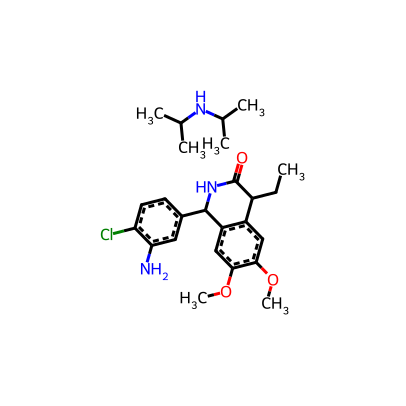 CC(C)NC(C)C.CCC1C(=O)NC(c2ccc(Cl)c(N)c2)c2cc(OC)c(OC)cc21